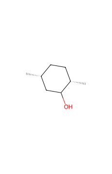 C[C@@H]1CC[C@H](C)C(O)C1